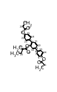 C=CC(=O)Oc1ccc(-c2ccc(-c3ccc(OC(=O)C=C)cc3)c(OC(=O)C(=C)CC)c2)cc1